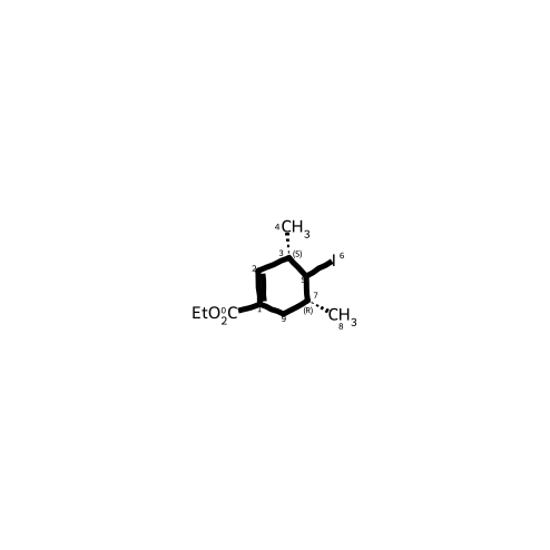 CCOC(=O)C1=C[C@H](C)C(I)[C@H](C)C1